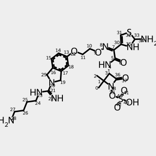 CC1(C)[C@H](NC(=O)/C(=N\OCCOc2ccc3c(c2)CN(C(=N)NCCCCN)C3)C2=CSC(N)N2)C(=O)N1OS(=O)(=O)O